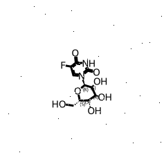 O=c1[nH]c(=O)n([C@@H]2O[C@@H](CO)[C@@H](O)[C@@H](O)[C@@H]2O)cc1F